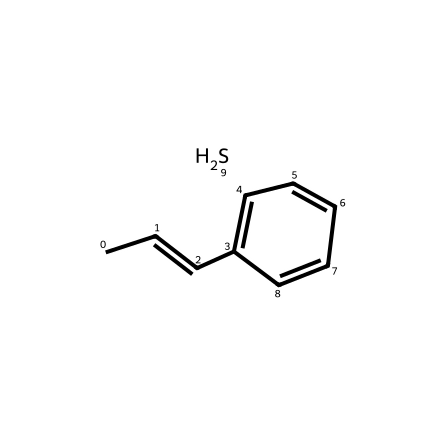 CC=Cc1ccccc1.S